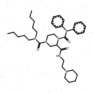 CCCCCN(CCCCC)C(=O)N1CCN(C(=O)N(c2ccccc2)c2ccccc2)C(C(=O)NCCN2CCCCC2)C1